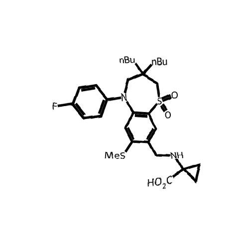 CCCCC1(CCCC)CN(c2ccc(F)cc2)c2cc(SC)c(CNC3(C(=O)O)CC3)cc2S(=O)(=O)C1